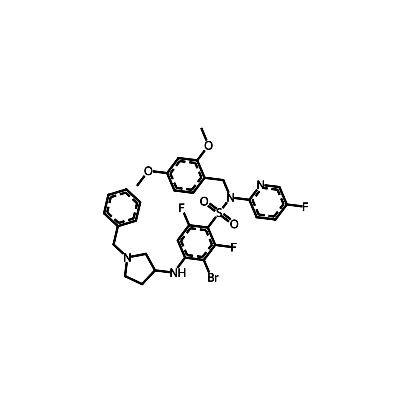 COc1ccc(CN(c2ccc(F)cn2)S(=O)(=O)c2c(F)cc(NC3CCN(Cc4ccccc4)C3)c(Br)c2F)c(OC)c1